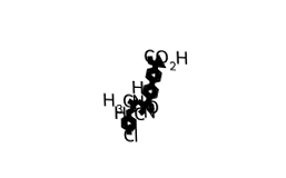 Cc1noc(-c2ccc(-c3ccc(C4(CC(=O)O)CC4)cc3)cc2)c1NC(C)CCc1ccc(Cl)cc1